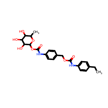 CCc1ccc(NC(=O)OCc2ccc(NC(=O)OC3OC(C)C(O)C(O)C3O)cc2)cc1